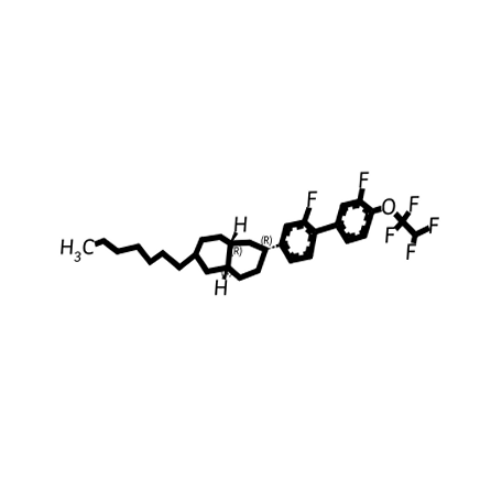 CCCCCCCC1CC[C@@H]2C[C@H](c3ccc(-c4ccc(OC(F)(F)C(F)F)c(F)c4)c(F)c3)CC[C@@H]2C1